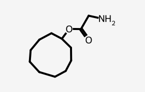 NCC(=O)OC1CCCCCCCCC1